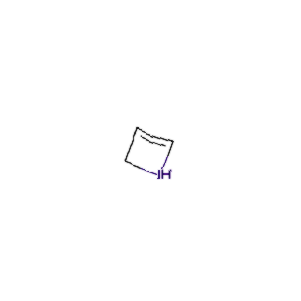 C1=C[IH]C1